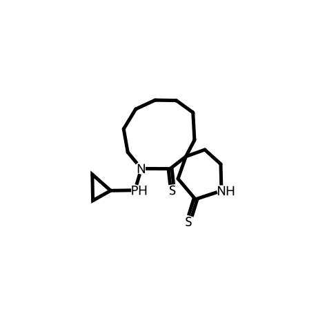 S=C1CC2(CCCCCCCN(PC3CC3)C2=S)CCN1